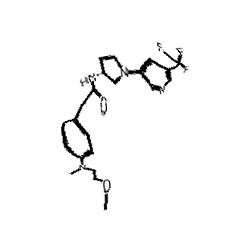 COCCN(C)c1ccc(CC(=O)N[C@@H]2CCN(c3cncc(C(F)(F)F)c3)C2)cc1